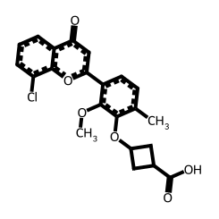 COc1c(-c2cc(=O)c3cccc(Cl)c3o2)ccc(C)c1OC1CC(C(=O)O)C1